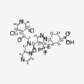 O=C(CN(Cc1cnccn1)C(=O)c1cnn(C2CCC(C(=O)O)CC2)c1C(F)(F)F)c1c(Cl)cncc1Cl